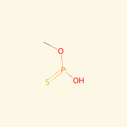 CO[P](O)=S